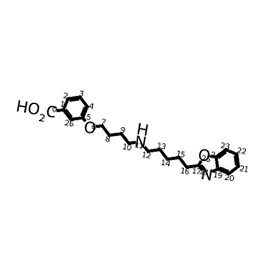 O=C(O)c1cccc(OCCCCNCCCCCc2nc3ccccc3o2)c1